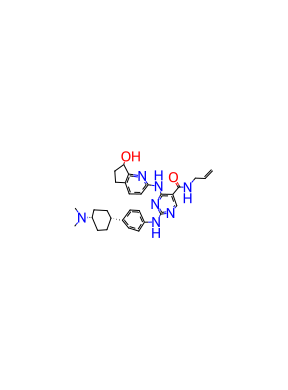 C=CCNC(=O)c1cnc(Nc2ccc([C@H]3CC[C@@H](N(C)C)CC3)cc2)nc1Nc1ccc2c(n1)C(O)CC2